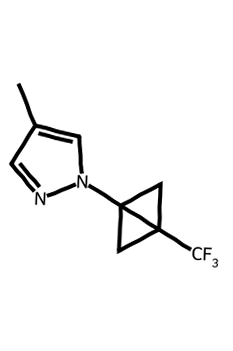 Cc1cnn(C23CC2(C(F)(F)F)C3)c1